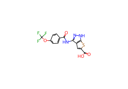 O=C(Nc1n[nH]c2sc(C(=O)O)cc12)c1ccc(OC(F)(F)F)cc1